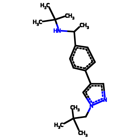 CC(NC(C)(C)C)c1ccc(-c2cnn(CC(C)(C)C)c2)cc1